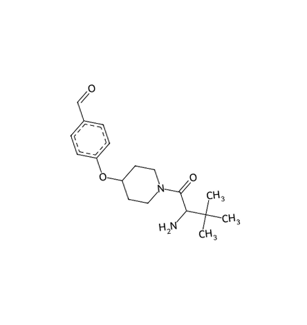 CC(C)(C)C(N)C(=O)N1CCC(Oc2ccc(C=O)cc2)CC1